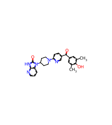 Cc1cc(C(=O)c2ccc(N3CCC(n4c(=O)[nH]c5ncccc54)CC3)nc2)cc(C)c1O